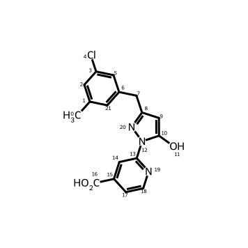 Cc1cc(Cl)cc(Cc2cc(O)n(-c3cc(C(=O)O)ccn3)n2)c1